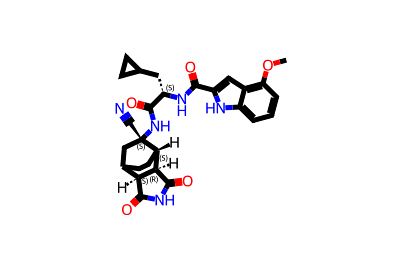 COc1cccc2[nH]c(C(=O)N[C@@H](CC3CC3)C(=O)N[C@@]3(C#N)CC4CC[C@H]3[C@H]3C(=O)NC(=O)[C@@H]43)cc12